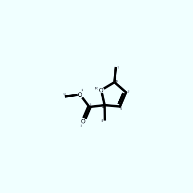 COC(=O)C1(C)C=CC(C)O1